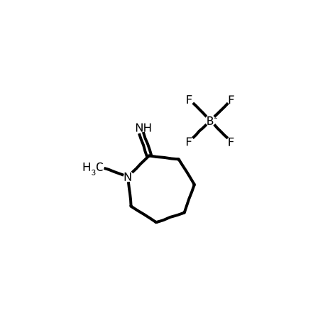 CN1CCCCCC1=N.F[B-](F)(F)F